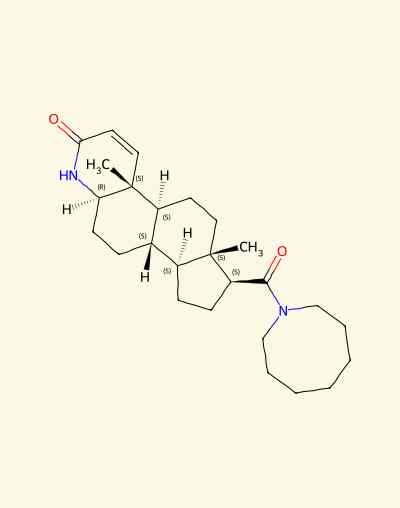 C[C@]12C=CC(=O)N[C@@H]1CC[C@@H]1[C@@H]2CC[C@]2(C)[C@@H](C(=O)N3CCCCCCC3)CC[C@@H]12